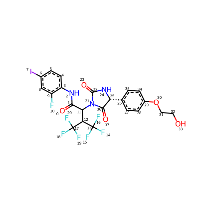 O=C(Nc1ccc(I)cc1F)C(C(C(F)(F)F)C(F)(F)F)N1C(=O)N[C@H](c2ccc(OCCO)cc2)C1=O